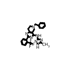 Cc1nc(Nc2nc(-c3ccccc3C(F)(F)F)nc3c2CN(Cc2ccccc2)CC3)n[nH]1